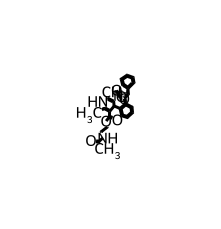 CC(=O)NCCOC(=O)C1=C(C)NC(C)=C([N+](=O)[O-])C1c1ccccc1OCc1ccccc1